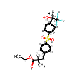 CCOC(=O)C(C)(C)Cc1ccc(S(=O)(=O)c2ccc(C(C)(O)C(F)(F)F)cc2)cc1